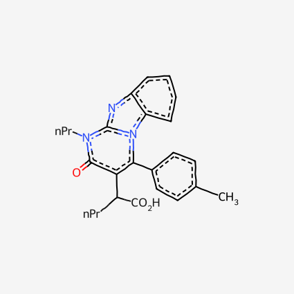 CCCC(C(=O)O)c1c(-c2ccc(C)cc2)n2c3ccccc3nc2n(CCC)c1=O